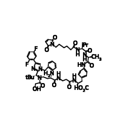 CC(C)C(NC(=O)CCCCCN1C(=O)C=CC1=O)C(=O)N[C@@H](C)C(=O)Nc1ccc(C[C@H](NC(=O)CCNC(=O)[C@@H](N)CCN(C(=O)CO)[C@@H](c2nc(-c3cc(F)ccc3F)cn2Cc2ccccc2)C(C)(C)C)C(=O)O)cc1